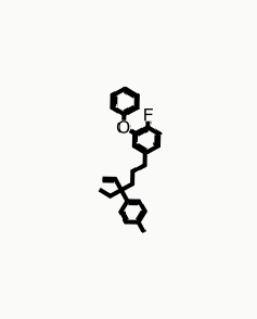 C=CC(CC)(CCCc1ccc(F)c(Oc2ccccc2)c1)c1ccc(C)cc1